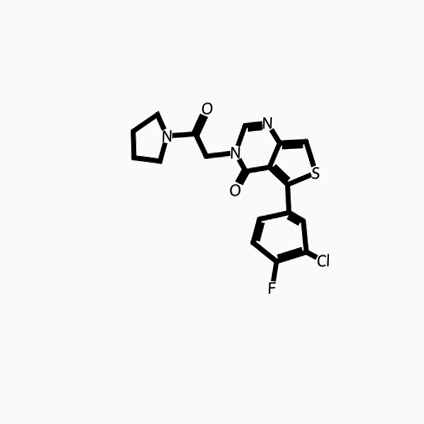 O=C(Cn1cnc2csc(-c3ccc(F)c(Cl)c3)c2c1=O)N1CCCC1